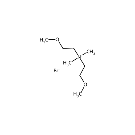 COCC[N+](C)(C)CCOC.[Br-]